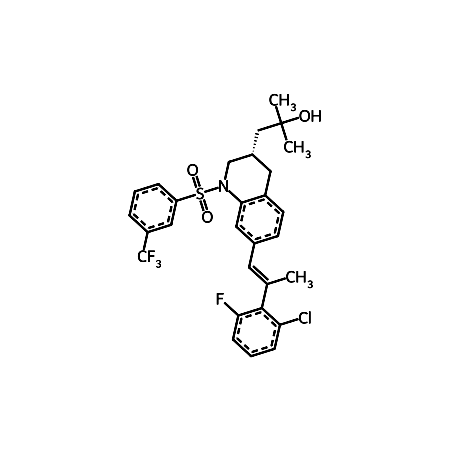 C/C(=C\c1ccc2c(c1)N(S(=O)(=O)c1cccc(C(F)(F)F)c1)C[C@H](CC(C)(C)O)C2)c1c(F)cccc1Cl